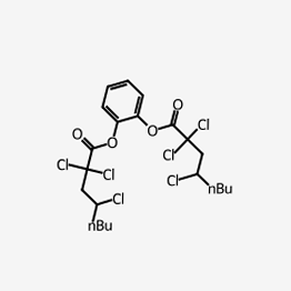 CCCCC(Cl)CC(Cl)(Cl)C(=O)Oc1ccccc1OC(=O)C(Cl)(Cl)CC(Cl)CCCC